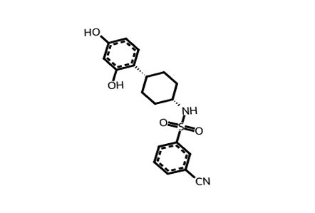 N#Cc1cccc(S(=O)(=O)N[C@H]2CC[C@@H](c3ccc(O)cc3O)CC2)c1